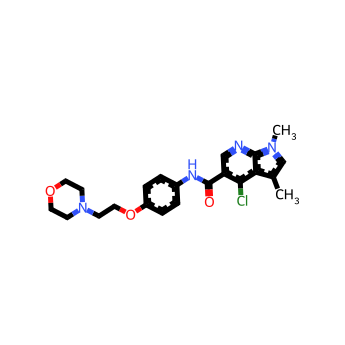 Cc1cn(C)c2ncc(C(=O)Nc3ccc(OCCN4CCOCC4)cc3)c(Cl)c12